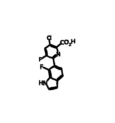 O=C(O)c1nc(-c2ccc3cc[nH]c3c2F)c(F)cc1Cl